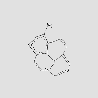 CC12C=CC=C3C=Cc4c(N)ccc(c4C31)C=C2